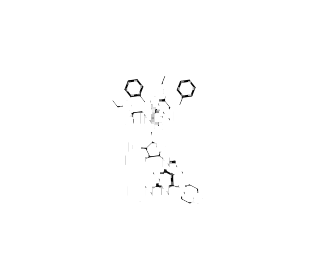 CCOC(=O)[C@H](Cc1ccccc1)NP(=O)(N[C@@H](Cc1ccccc1)C(=O)OCC)OC[C@H]1OC(n2cnc3c(N4CCOCC4)nc(N)nc32)[C@@](C)(O)C1O